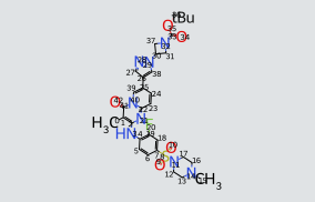 Cc1c(Nc2ccc(S(=O)(=O)N3CCN(C)CC3)cc2F)nc2ccc(-c3cnn(C4CN(C(=O)OC(C)(C)C)C4)c3)cn2c1=O